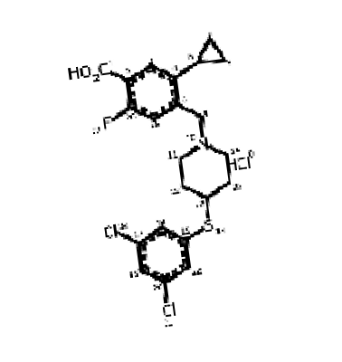 Cl.O=C(O)c1cc(C2CC2)c(CN2CCC(Sc3cc(Cl)cc(Cl)c3)CC2)cc1F